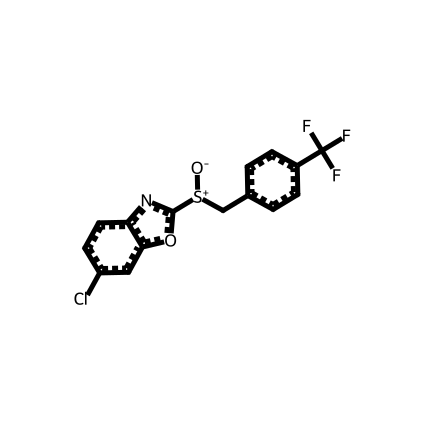 [O-][S+](Cc1ccc(C(F)(F)F)cc1)c1nc2ccc(Cl)cc2o1